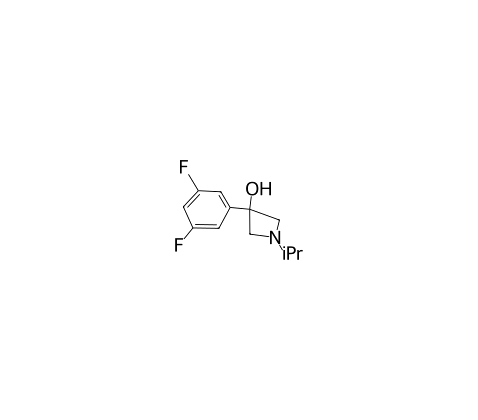 CC(C)N1CC(O)(c2cc(F)cc(F)c2)C1